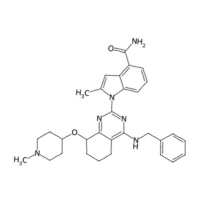 Cc1cc2c(C(N)=O)cccc2n1-c1nc(NCc2ccccc2)c2c(n1)C(OC1CCN(C)CC1)CCC2